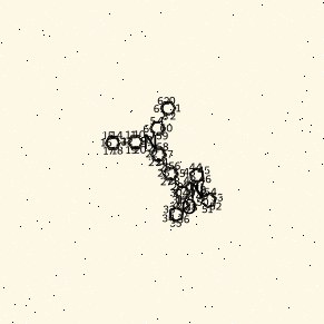 c1ccc(-c2ccc(N(c3ccc(-c4ccccc4)cc3)c3ccc(-c4ccc(-c5cc6c7ccccc7oc6c6c5c5ccccc5n6-c5ccccc5)cc4)cc3)cc2)cc1